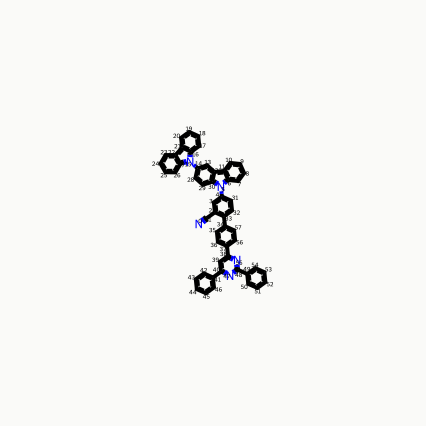 N#Cc1cc(-n2c3ccccc3c3cc(-n4c5ccccc5c5ccccc54)ccc32)ccc1-c1ccc(-c2cc(-c3ccccc3)nc(-c3ccccc3)n2)cc1